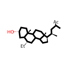 CC[C@H]1CC2C(CC[C@@]3(C)C2CC[C@@H]3[C@H](C)C[C@H](C)C(C)=O)[C@@]2(C)CC[C@@H](O)CC12